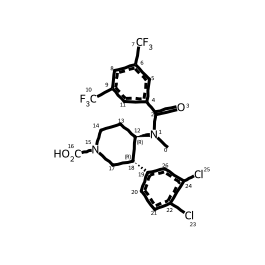 CN(C(=O)c1cc(C(F)(F)F)cc(C(F)(F)F)c1)[C@@H]1CCN(C(=O)O)C[C@H]1c1ccc(Cl)c(Cl)c1